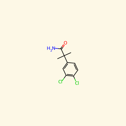 CC(C)(C(N)=O)c1ccc(Cl)c(Cl)c1